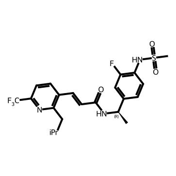 CC(C)Cc1nc(C(F)(F)F)ccc1C=CC(=O)N[C@H](C)c1ccc(NS(C)(=O)=O)c(F)c1